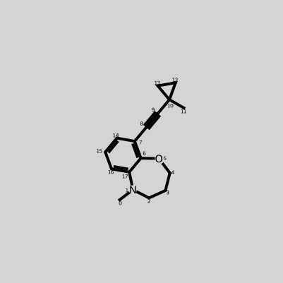 CN1CCCOc2c(C#CC3(C)CC3)cccc21